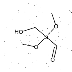 CO[Si](C=O)(CO)OC